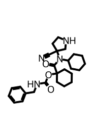 N#CC1(N(C(=O)C2(OC(=O)NCc3ccccc3)CCCCC2)C2CCCCC2)CCNC1